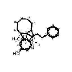 CN(CCc1ccccc1)[C@H]1C2CCCCC[C@]1(C)c1cc(O)ccc1C2